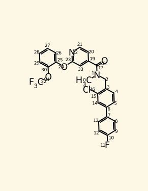 CN(Cc1ccc(-c2ccc(F)cc2)cc1Cl)C(=O)c1ccnc(Oc2ccccc2OC(F)(F)F)c1